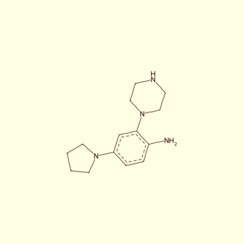 Nc1ccc(N2CCCC2)cc1N1CCNCC1